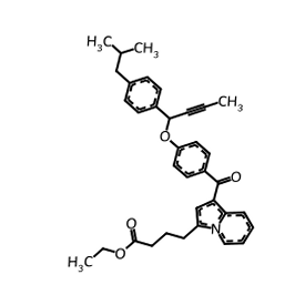 CC#CC(Oc1ccc(C(=O)c2cc(CCCC(=O)OCC)n3ccccc23)cc1)c1ccc(CC(C)C)cc1